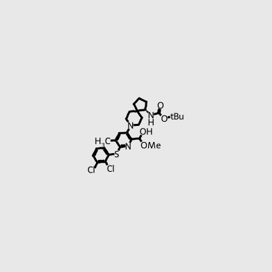 COC(O)c1nc(Sc2cccc(Cl)c2Cl)c(C)cc1N1CCC2(CCC[C@H]2NC(=O)OC(C)(C)C)CC1